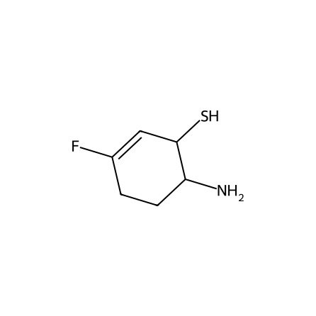 NC1CCC(F)=CC1S